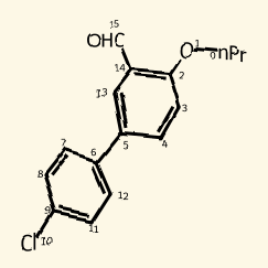 CCCOc1ccc(-c2ccc(Cl)cc2)cc1C=O